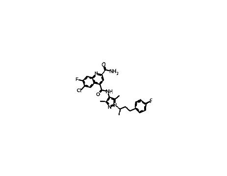 Cc1nn(C(C)CCc2ccc(F)cc2)c(C)c1NC(=O)c1cc(C(N)=O)nc2cc(F)c(Cl)cc12